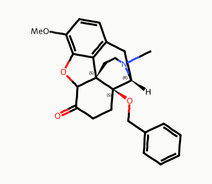 COc1ccc2c3c1OC1C(=O)CC[C@@]4(OCc5ccccc5)[C@@H](C2)N(C)CC[C@]314